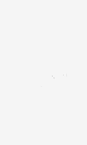 O/N=C/c1c(F)cccc1I